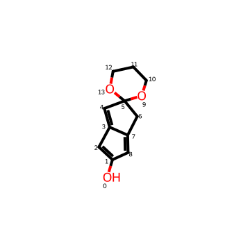 OC1=CC2=CC3(CC2=C1)OCCCO3